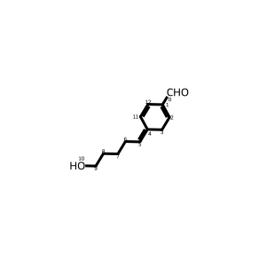 O=CC1=CCC(=CCCCCO)C=C1